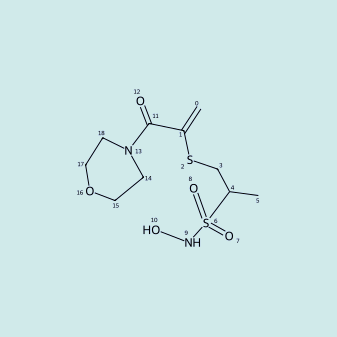 C=C(SCC(C)S(=O)(=O)NO)C(=O)N1CCOCC1